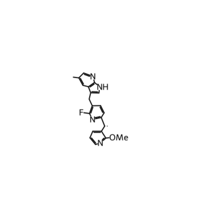 COc1ncccc1[CH]c1ccc(Cc2c[nH]c3ncc(C)cc23)c(F)n1